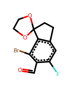 O=Cc1c(F)cc2c(c1Br)C1(CC2)OCCO1